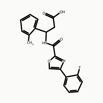 Cc1ccccc1C(CC(=O)O)NC(=O)c1nc(-c2ccccc2F)co1